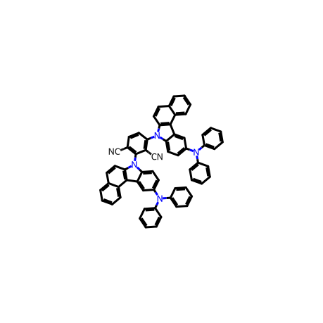 N#Cc1ccc(-n2c3ccc(N(c4ccccc4)c4ccccc4)cc3c3c4ccccc4ccc32)c(C#N)c1-n1c2ccc(N(c3ccccc3)c3ccccc3)cc2c2c3ccccc3ccc21